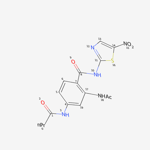 CCCC(=O)Nc1ccc(C(=O)Nc2ncc([N+](=O)[O-])s2)c(NC(C)=O)c1